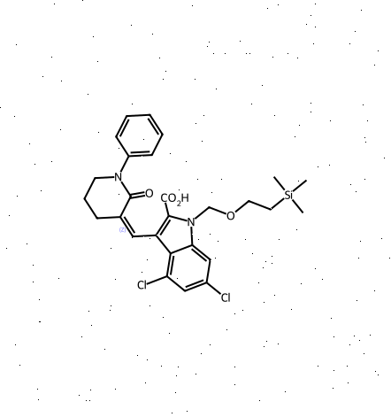 C[Si](C)(C)CCOCn1c(C(=O)O)c(/C=C2/CCCN(c3ccccc3)C2=O)c2c(Cl)cc(Cl)cc21